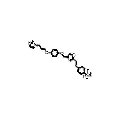 FS(F)(F)(F)(F)c1ccc(C=Cc2nc(COc3ccc(OCCCn4ccnn4)cc3)co2)cc1